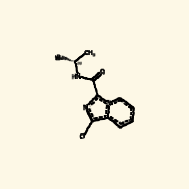 C[C@H](NC(=O)c1nc(Cl)c2ccccn12)C(C)(C)C